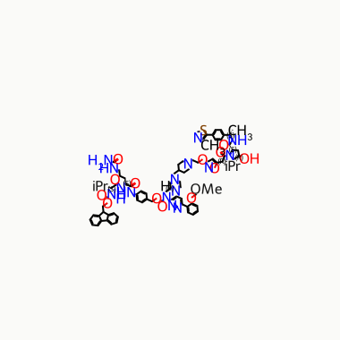 COCOc1ccccc1-c1cc2c(nn1)N(C(=O)OCc1ccc(NC(=O)[C@H](CCCNC(N)=O)NC(=O)[C@@H](NC(=O)OCC3c4ccccc4-c4ccccc43)C(C)C)cc1)C[C@H]1CN(CC3CCN(CCOc4cc([C@H](C(=O)N5C[C@H](O)C[C@H]5C(=O)N[C@@H](C)c5ccc(-c6scnc6C)cc5)C(C)C)on4)CC3)CCN21